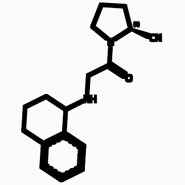 N#C[C@@H]1CCCN1C(=O)CNC1CCCc2ccccc21